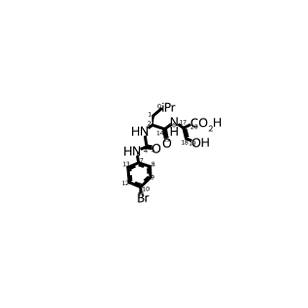 CC(C)C[C@H](NC(=O)Nc1ccc(Br)cc1)C(=O)NC(=CO)C(=O)O